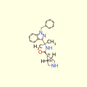 CC(C)(NC(=O)[C@H]1[C@@H]2CNC[C@@H]21)c1nn(Cc2ccccc2)c2ccccc12